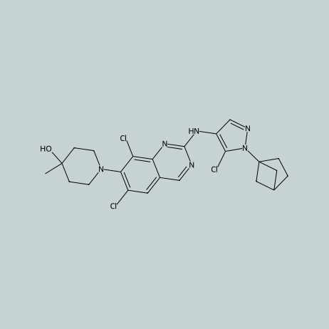 CC1(O)CCN(c2c(Cl)cc3cnc(Nc4cnn(C56CCC(C5)C6)c4Cl)nc3c2Cl)CC1